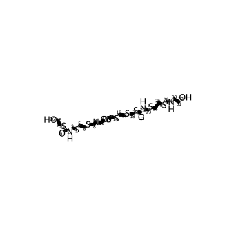 O=C(NCSCCSC/N=C/OOCSCCSCSC(=O)NCSCCSCNCCO)SCCO